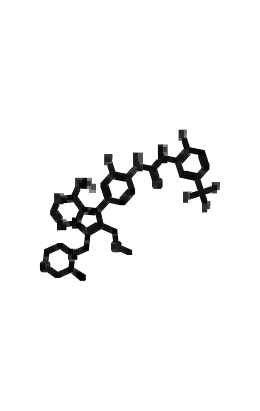 COCc1c(-c2ccc(NC(=O)Nc3cc(C(F)(F)F)ccc3F)c(F)c2)c2c(N)ncnn2c1CN1CCOC[C@@H]1C